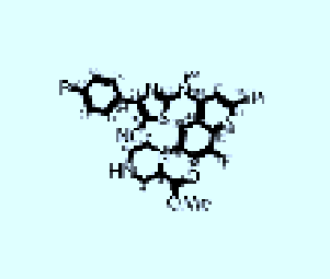 COC(=O)C1CNCCN1c1cc(F)c2nc(C(C)C)cc(N(C)c3nc(-c4ccc(F)cc4)c(C#N)s3)c2c1